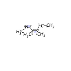 C=C=C/C(C)=C(C)\C=N/C